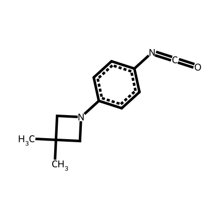 CC1(C)CN(c2ccc(N=C=O)cc2)C1